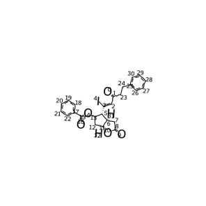 O=C(C=C(I)[C@@H]1[C@H]2CC(=O)O[C@H]2C[C@H]1OC(=O)c1ccccc1)CCc1ccccc1